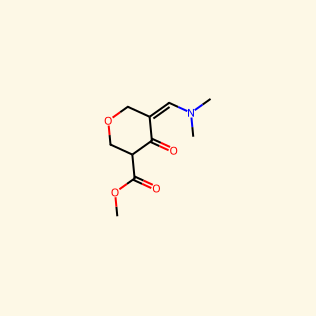 COC(=O)C1COCC(=CN(C)C)C1=O